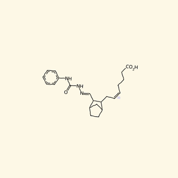 O=C(O)CCC/C=C\CC1C2CCC(C2)C1C=NNC(=O)Nc1ccccc1